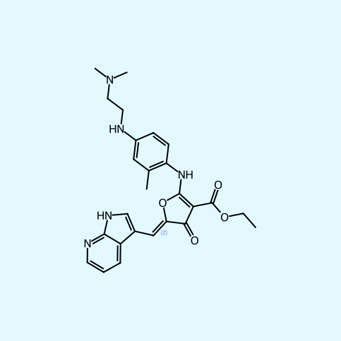 CCOC(=O)C1=C(Nc2ccc(NCCN(C)C)cc2C)O/C(=C\c2c[nH]c3ncccc23)C1=O